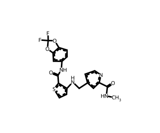 CNC(=O)c1cc(CNc2ccsc2C(=O)Nc2ccc3c(c2)OC(F)(F)O3)ccn1